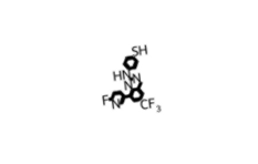 Fc1ccc(-c2cc(C(F)(F)F)cc3cnc(Nc4ccc(S)cc4)nc23)cn1